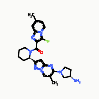 Cc1ccn2c(F)c(C(=O)N3CCCC[C@H]3c3cc4nc(N5CC[C@H](N)C5)c(C)cn4n3)nc2c1